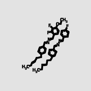 CCC=CCCc1ccc(C=NN=Cc2ccc(F)cc2)cc1.CCC=CCCc1ccc(C=NN=Cc2ccc(OCC)c(F)c2F)cc1